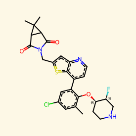 Cc1cc(Cl)cc(-c2ccnc3cc(CN4C(=O)C5C(C4=O)C5(C)C)sc23)c1O[C@@H]1CCNC[C@@H]1F